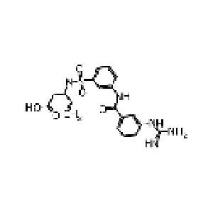 C=CC(CC(=O)O)NS(=O)(=O)c1cccc(NC(=O)c2cccc(NC(=N)N)c2)c1